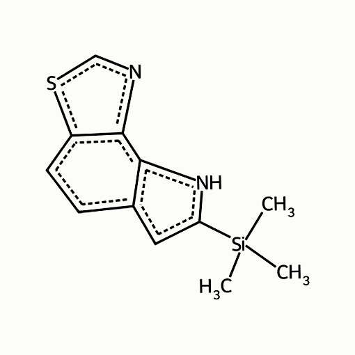 C[Si](C)(C)c1cc2ccc3scnc3c2[nH]1